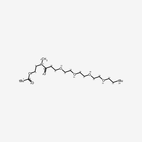 CN(CCOC(=O)C(C)(C)C)C(=O)CCOCCOCCOCCOCCC(C)(C)C